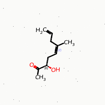 C=CC/C(C)=C\C[C@@H](O)C(C)=O